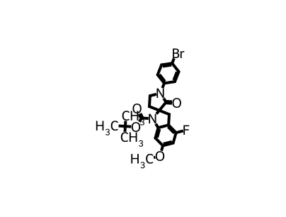 COc1cc(F)c2c(c1)N(C(=O)OC(C)(C)C)C1(CCN(c3ccc(Br)cc3)C1=O)C2